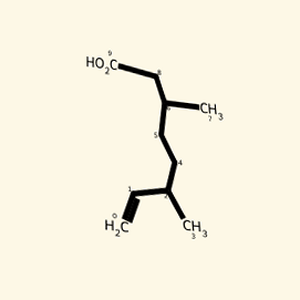 C=CC(C)CCC(C)CC(=O)O